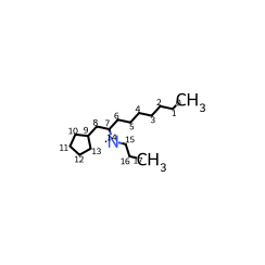 CCCCCCCC(CC1CCCC1)[N]CCC